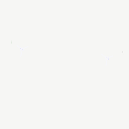 CN1CCC(CCCC2CCN(F)CC2)CC1